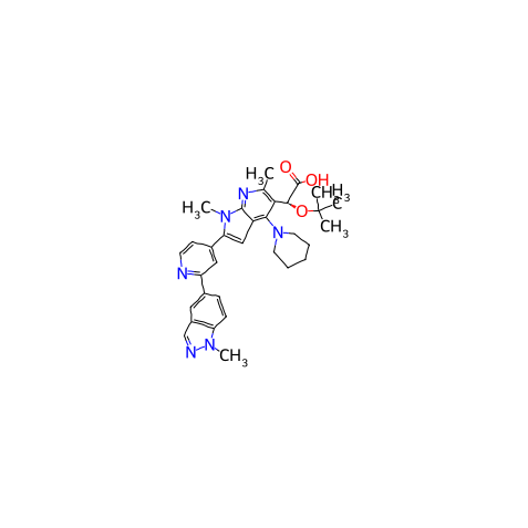 Cc1nc2c(cc(-c3ccnc(-c4ccc5c(cnn5C)c4)c3)n2C)c(N2CCCCC2)c1[C@H](OC(C)(C)C)C(=O)O